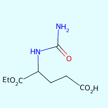 CCOC(=O)C(CCC(=O)O)NC(N)=O